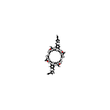 C#Cc1cnn(Cc2ccc(C[C@H]3OC(=O)[C@H](CC(C)C)N(C)C(=O)[C@@H](C)OC(=O)[C@H](CC(C)C)N(C)C(=O)[C@@H](Cc4ccc(Cn5cc(C#C)cn5)cc4)OC(=O)[C@H](CC(C)C)N(C)C(=O)[C@@H](C)OC(=O)[C@H](CC(C)C)N(C)C3=O)cc2)c1